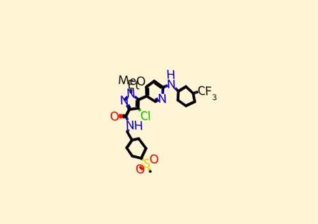 CCn1nc(C(=O)NCC2CCC(S(C)(=O)=O)CC2)c(Cl)c1-c1cnc(NC2CCCC(C(F)(F)F)C2)cc1OC